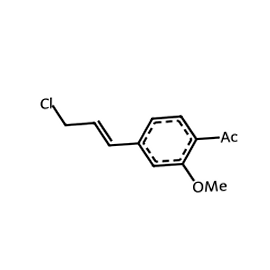 COc1cc(C=CCCl)ccc1C(C)=O